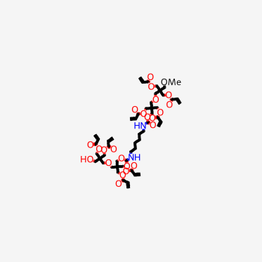 C=CC(=O)OCC(CO)(COCC(COC(=O)C=C)(COC(=O)C=C)COC(=O)NCCCCCCNC(=O)OCC(COCC(COC)(COC(=O)C=C)COC(=O)C=C)(COC(=O)C=C)COC(=O)C=C)COC(=O)C=C